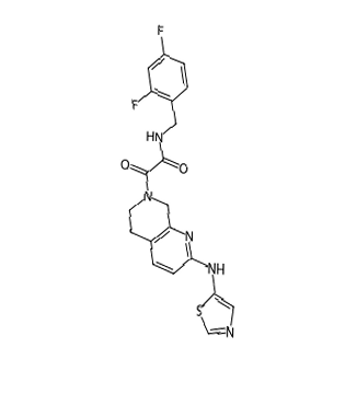 O=C(NCc1ccc(F)cc1F)C(=O)N1CCc2ccc(Nc3cncs3)nc2C1